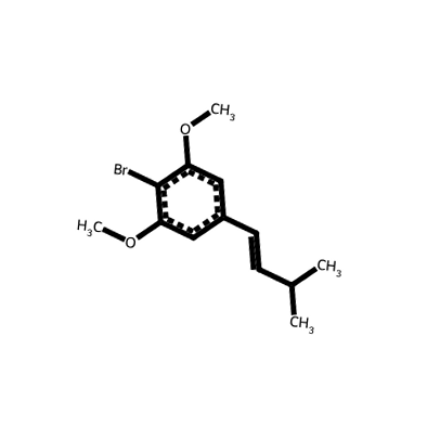 COc1cc(C=CC(C)C)cc(OC)c1Br